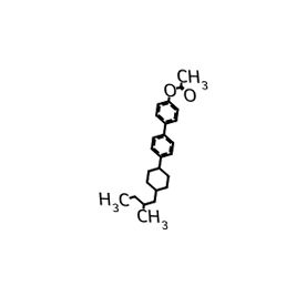 CCC(C)CC1CCC(c2ccc(-c3ccc(OC(C)=O)cc3)cc2)CC1